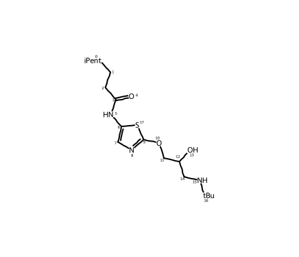 CCCC(C)CCC(=O)Nc1cnc(OCC(O)CNC(C)(C)C)s1